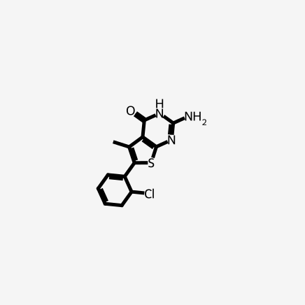 Cc1c(C2=CC=CCC2Cl)sc2nc(N)[nH]c(=O)c12